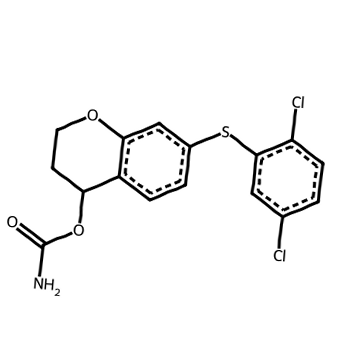 NC(=O)OC1CCOc2cc(Sc3cc(Cl)ccc3Cl)ccc21